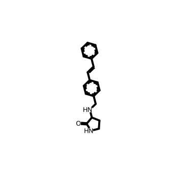 O=C1NCCC1NCc1ccc(C=Cc2ccccc2)cc1